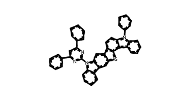 c1ccc(-c2cc(-c3ccccc3)nc(-n3c4ccccc4c4cc5sc6c(ccc7c6c6ccccc6n7-c6ccccc6)c5cc43)n2)cc1